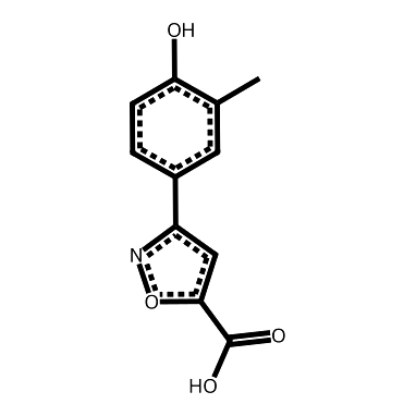 Cc1cc(-c2cc(C(=O)O)on2)ccc1O